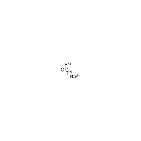 [Ba+2].[O-2].[Ti+4].[Y+3]